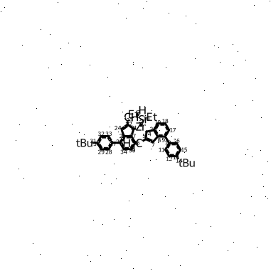 CC[SiH](CC)[Zr]([CH]1C(C)=Cc2c(-c3ccc(C(C)(C)C)cc3)cccc21)[CH]1C(C)=Cc2c(-c3ccc(C(C)(C)C)cc3)cccc21